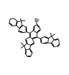 CC1(C)C2=C(C=CCC2)c2ccc(-c3c4cc(Br)ccc4c(-c4ccc5c(c4)C(C)(C)c4ccccc4-5)c4cc5c(cc34)C(C)(C)c3ccccc3-5)cc21